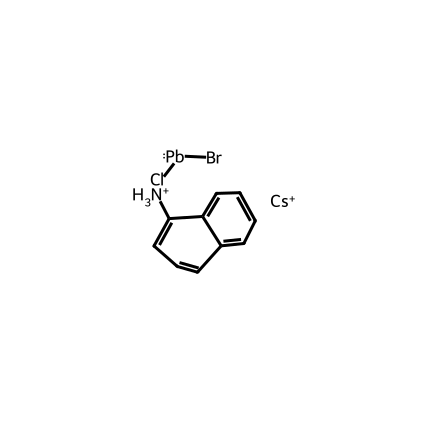 [Cl][Pb][Br].[Cs+].[NH3+]c1cccc2ccccc12